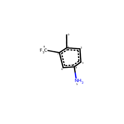 Cc1ccc(N)cc1C(F)(F)F